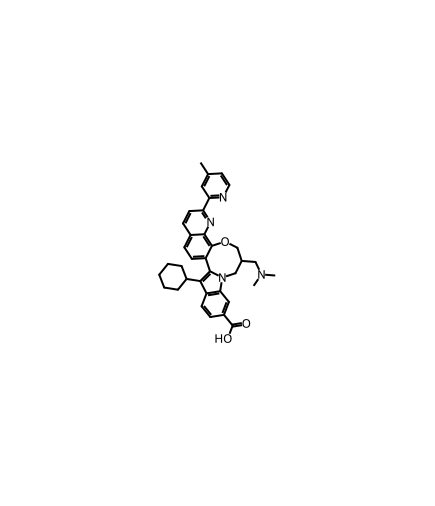 Cc1ccnc(-c2ccc3ccc4c(c3n2)OCC(CN(C)C)Cn2c-4c(C3CCCCC3)c3ccc(C(=O)O)cc32)c1